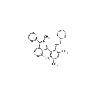 C/N=C(\c1ccccc1)c1cccc(C)c1Pc1cc(C)cc(C)c1OCC1C=CC=CC1